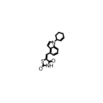 O=C1NC(=O)C(=Cc2cccc3c2ccn3C2C=CCCC2)S1